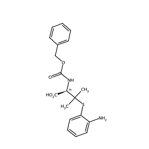 CC(C)(Sc1ccccc1N)[C@H](NC(=O)OCc1ccccc1)C(=O)O